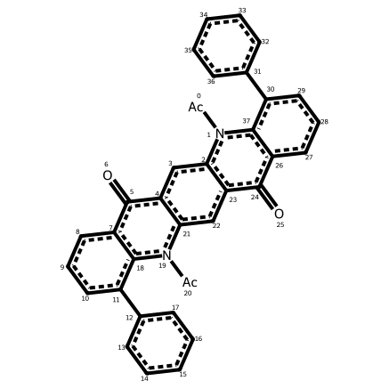 CC(=O)n1c2cc3c(=O)c4cccc(-c5ccccc5)c4n(C(C)=O)c3cc2c(=O)c2cccc(-c3ccccc3)c21